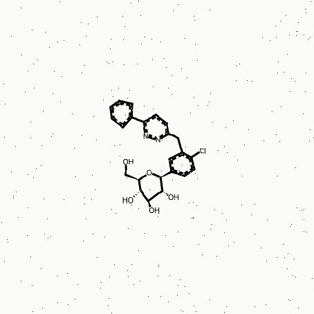 OC[C@H]1O[C@@H](c2ccc(Cl)c(Cc3ccc(-c4ccccc4)nn3)c2)[C@H](O)[C@@H](O)[C@@H]1O